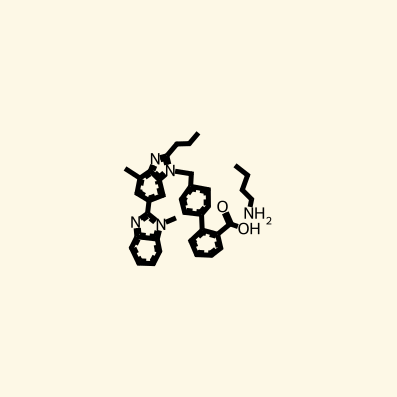 CCCCN.CCCc1nc2c(C)cc(-c3nc4ccccc4n3C)cc2n1Cc1ccc(-c2ccccc2C(=O)O)cc1